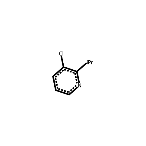 CC(C)c1ncccc1Cl